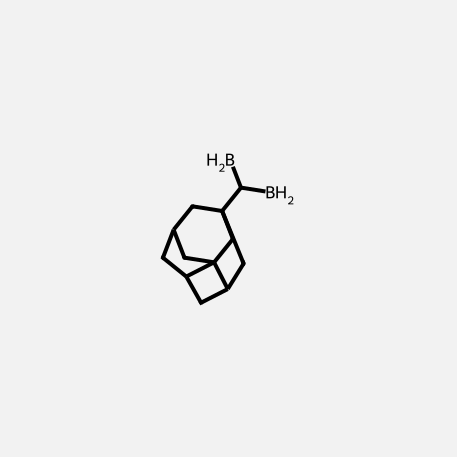 BC(B)C12CC3CC4CC(C1)C4(C3)C2